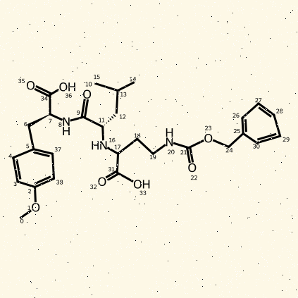 COc1ccc(C[C@H](NC(=O)[C@H](CC(C)C)NC(CCNC(=O)OCc2ccccc2)C(=O)O)C(=O)O)cc1